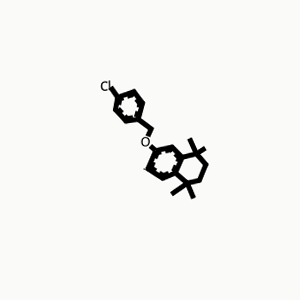 CC1(C)CCC(C)(C)c2cc(OCc3ccc(Cl)cc3)[c]cc21